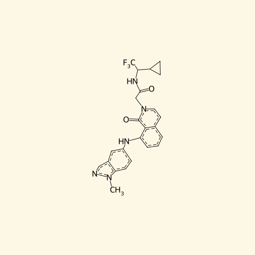 Cn1ncc2cc(Nc3cccc4ccn(CC(=O)NC(C5CC5)C(F)(F)F)c(=O)c34)ccc21